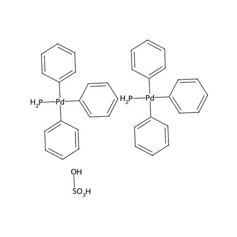 O=S(=O)(O)O.[PH2][Pd]([c]1ccccc1)([c]1ccccc1)[c]1ccccc1.[PH2][Pd]([c]1ccccc1)([c]1ccccc1)[c]1ccccc1